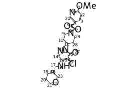 COc1ccc(S(=O)(=O)N2CCC(n3ncc(NC[C@H]4CCCOC4)c(Cl)c3=O)CC2)cn1